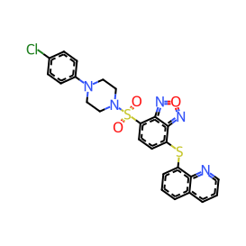 O=S(=O)(c1ccc(Sc2cccc3cccnc23)c2nonc12)N1CCN(c2ccc(Cl)cc2)CC1